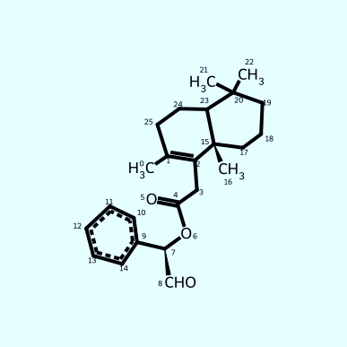 CC1=C(CC(=O)O[C@@H](C=O)c2ccccc2)[C@@]2(C)CCCC(C)(C)C2CC1